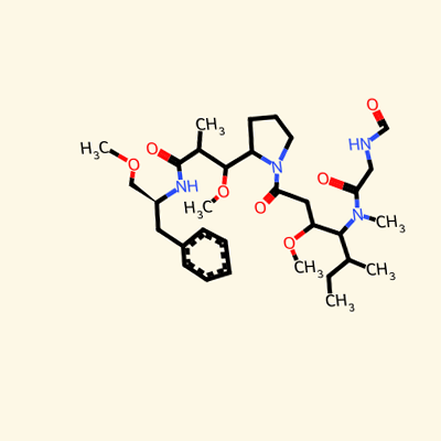 CCC(C)C(C(CC(=O)N1CCCC1C(OC)C(C)C(=O)N[C@H](COC)Cc1ccccc1)OC)N(C)C(=O)CNC=O